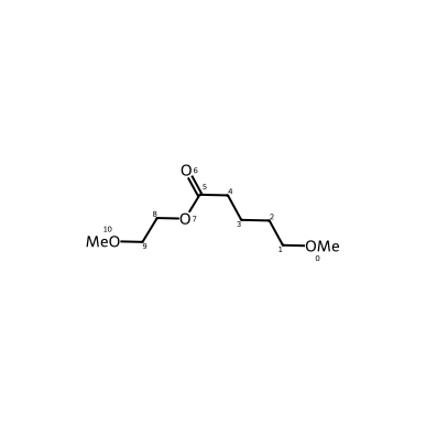 COCCCCC(=O)OCCOC